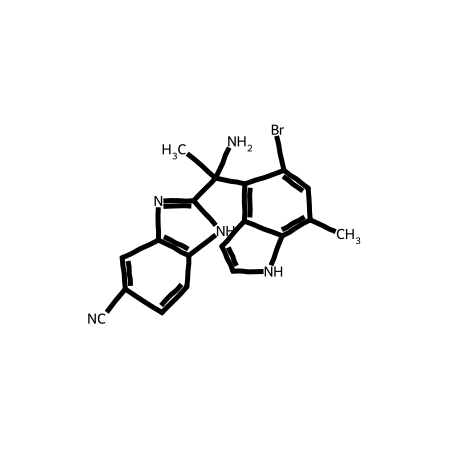 Cc1cc(Br)c(C(C)(N)c2nc3cc(C#N)ccc3[nH]2)c2cc[nH]c12